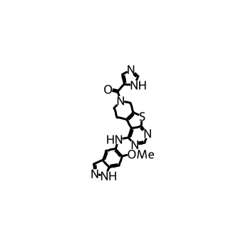 COc1cc2[nH]ncc2cc1Nc1ncnc2sc3c(c12)CCN(C(=O)c1cnc[nH]1)C3